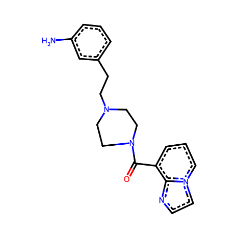 Nc1cccc(CCN2CCN(C(=O)c3cccn4ccnc34)CC2)c1